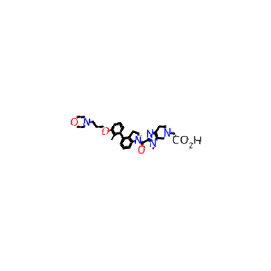 Cc1c(OCCCN2CCOCC2)cccc1-c1cccc2c1CCN2C(=O)c1nc2c(n1C)CN(CC(=O)O)CC2